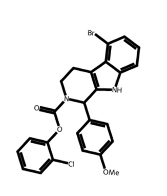 COc1ccc(C2c3[nH]c4cccc(Br)c4c3CCN2C(=O)Oc2ccccc2Cl)cc1